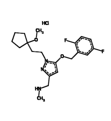 CNCc1cc(OCc2cc(F)ccc2F)n(CCC2(OC)CCCC2)n1.Cl